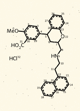 COc1ccc(C2CC(CNCCc3cccc4ccccc34)Oc3ccccc32)cc1C(=O)O.Cl